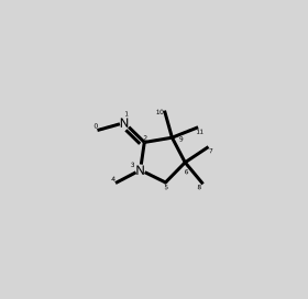 C/N=C1\N(C)CC(C)(C)C1(C)C